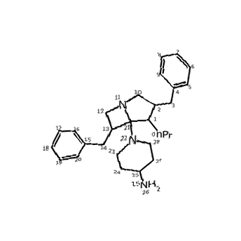 CCCC1C(Cc2ccccc2)CN2CC(Cc3ccccc3)C12N1CCC([15NH2])CC1